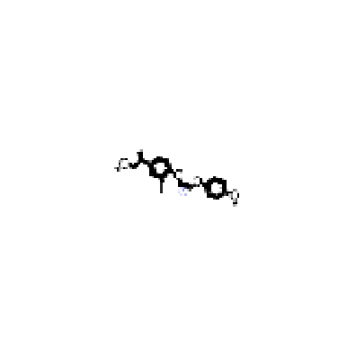 C=C(COC)c1ccc(O/C=C\Oc2ccc(OC)cc2)c(F)c1